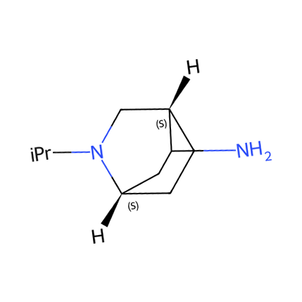 CC(C)N1C[C@@H]2CC[C@H]1CC2N